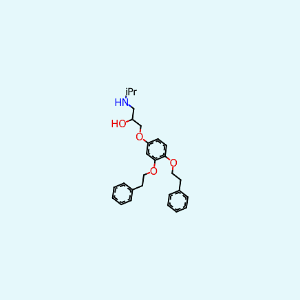 CC(C)NCC(O)COc1ccc(OCCc2ccccc2)c(OCCc2ccccc2)c1